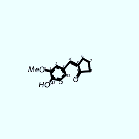 COc1cc(/C=C2/CCCC2=O)ccc1O